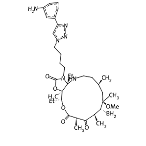 B[C@@H]1[C@@H](C)C(=O)[C@@H](C)C(=O)O[C@H](CC)[C@@]2(C)OC(=O)N(CCCCn3cc(-c4cccc(N)c4)nn3)[C@]2(CC)NCC[C@@H](C)C[C@@]1(C)OC